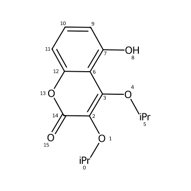 CC(C)Oc1c(OC(C)C)c2c(O)cccc2oc1=O